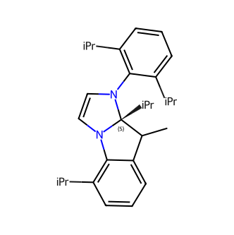 CC(C)c1cccc(C(C)C)c1N1C=CN2c3c(C(C)C)cccc3C(C)[C@@]12C(C)C